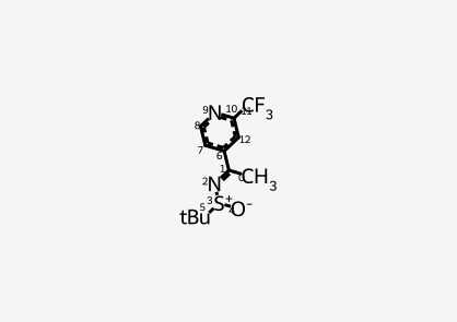 C/C(=N\[S+]([O-])C(C)(C)C)c1ccnc(C(F)(F)F)c1